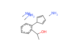 CC(O)c1ccccc1C1C=CC=C1.CN.CN.CN